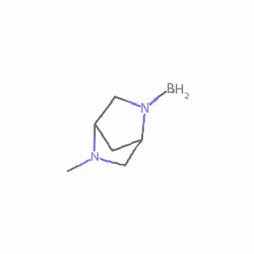 BN1CC2CC1CN2C